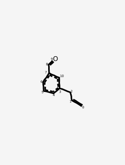 C=CCc1cccc(C=O)c1